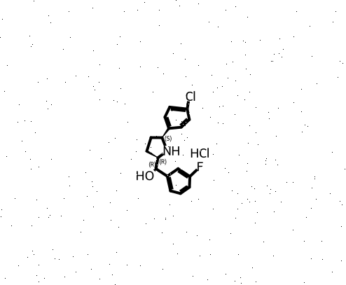 Cl.O[C@H](c1cccc(F)c1)[C@H]1CC[C@@H](c2ccc(Cl)cc2)N1